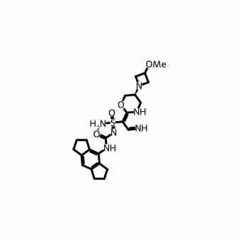 COC1CN([C@H]2CN/C(=C(\C=N)S(N)(=O)=NC(=O)Nc3c4c(cc5c3CCC5)CCC4)OC2)C1